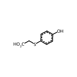 O=C(O)CSc1ccc(O)cc1